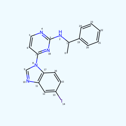 CC(Nc1nccc(-n2cnc3cc(I)ccc32)n1)c1ccccc1